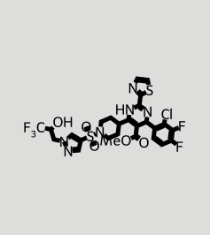 COC(=O)C1=C(C2CCN(S(=O)(=O)c3cnn(CC(O)C(F)(F)F)c3)CC2)NC(c2nccs2)=NC1c1ccc(F)c(F)c1Cl